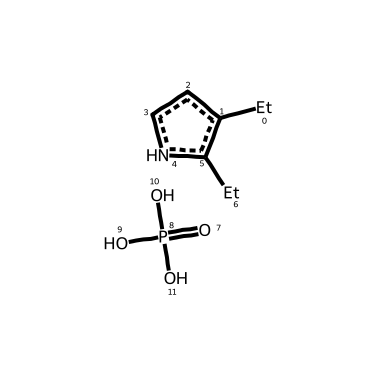 CCc1cc[nH]c1CC.O=P(O)(O)O